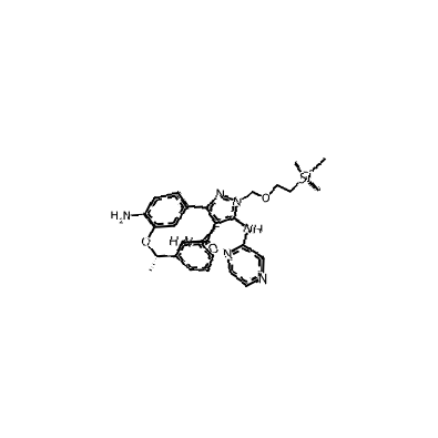 C[C@H](Oc1cc(-c2nn(COCC[Si](C)(C)C)c(Nc3cnccn3)c2C(N)=O)ccc1N)c1cccc(F)c1